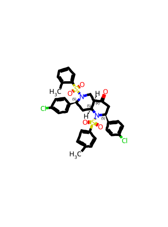 Cc1ccc(S(=O)(=O)N2[C@H](c3ccc(Cl)cc3)CC(=O)[C@@H]3CN(S(=O)(=O)c4ccccc4C)[C@H](c4ccc(Cl)cc4)C[C@@H]32)cc1